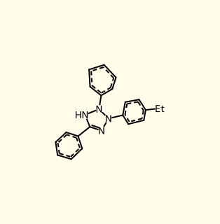 CCc1ccc(N2N=C(c3ccccc3)NN2c2ccccc2)cc1